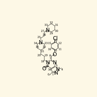 Cc1nn(C)c2nc(COc3ccc(Cl)cc3)n(CCCC3CCN(CCCN4CCCCC4)CC3)c(=O)c12